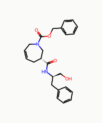 O=C(N[C@@H](CO)Cc1ccccc1)[C@@H]1CC=CCN(C(=O)OCc2ccccc2)C1